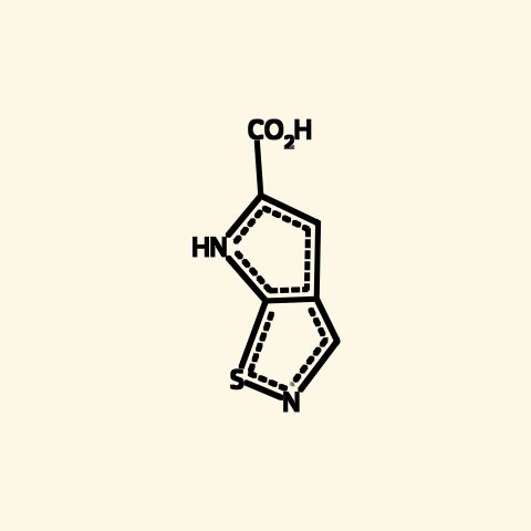 O=C(O)c1cc2cnsc2[nH]1